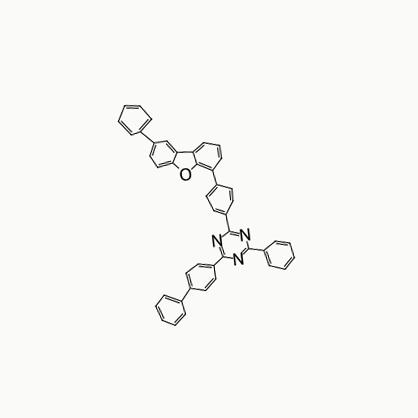 c1ccc(-c2ccc(-c3nc(-c4ccccc4)nc(-c4ccc(-c5cccc6c5oc5ccc(-c7ccccc7)cc56)cc4)n3)cc2)cc1